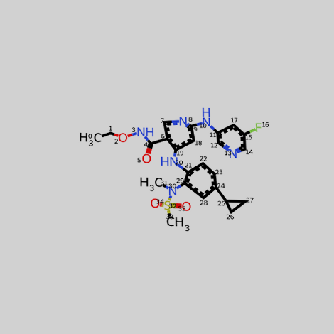 CCONC(=O)c1cnc(Nc2cncc(F)c2)cc1Nc1ccc(C2CC2)cc1N(C)S(C)(=O)=O